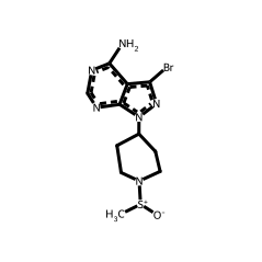 C[S+]([O-])N1CCC(n2nc(Br)c3c(N)ncnc32)CC1